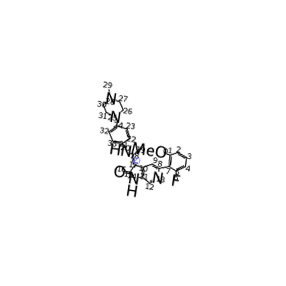 COc1cccc(F)c1-c1cc2c(cn1)NC(=O)/C2=C(/C)Nc1ccc(N2CCN(C)CC2)cc1